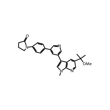 COC(C)(C)c1cnc2c(c1)c(-c1cncc(-c3ccc(N4CCCC4=O)cc3)c1)cn2C